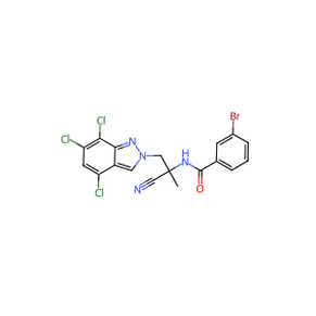 CC(C#N)(Cn1cc2c(Cl)cc(Cl)c(Cl)c2n1)NC(=O)c1cccc(Br)c1